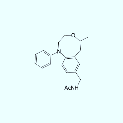 CC(=O)NCc1ccc2c(c1)CC(C)OCCN2c1ccccc1